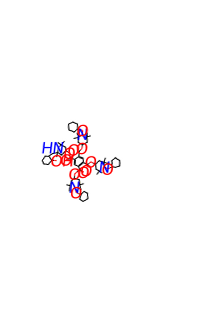 CC1(C)CC(OC(=O)c2cc(C(=O)OC3CC(C)(C)N(OC4CCCCC4)C(C)(C)C3)c(C(=O)OC3CC(C)(C)N(OC4CCCCC4)C(C)(C)C3)cc2C(=O)OC2CC(C)(C)N(OC3CCCCC3)C(C)(C)C2)CC(C)(CC2CCCCC2O)N1